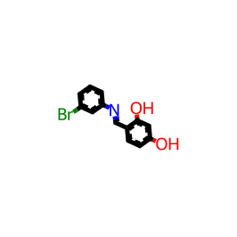 Oc1ccc(C=Nc2cccc(Br)c2)c(O)c1